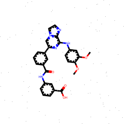 COc1ccc(Nc2nc(-c3cccc(C(=O)Nc4cccc(C(=O)O)c4)c3)cn3ccnc23)cc1OC